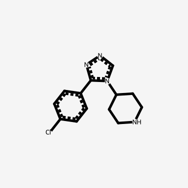 Clc1ccc(-c2nncn2C2CCNCC2)cc1